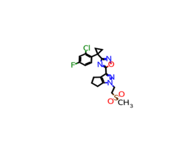 CS(=O)(=O)CCn1nc(-c2nc(C3(c4ccc(F)cc4Cl)CC3)no2)c2c1CCC2